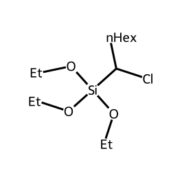 CCCCCCC(Cl)[Si](OCC)(OCC)OCC